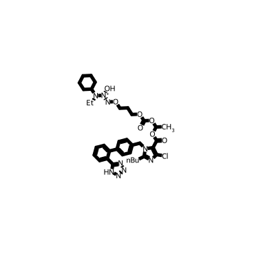 CCCCc1nc(Cl)c(C(=O)OC(C)OC(=O)OCCCO/N=[N+](\O)N(CC)C2CCCCC2)n1Cc1ccc(-c2ccccc2-c2nnn[nH]2)cc1